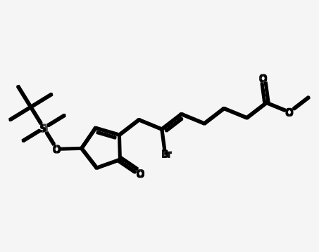 COC(=O)CCC/C=C(\Br)CC1=CC(O[Si](C)(C)C(C)(C)C)CC1=O